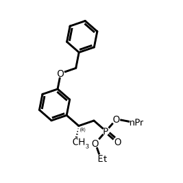 CCCOP(=O)(C[C@H](C)c1cccc(OCc2ccccc2)c1)OCC